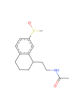 CC(=O)NCCC1CCCc2ccc([S+](C)[O-])cc21